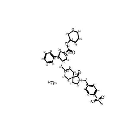 CS(=O)(=O)c1ccc(CN2CCC3(CCN(C[C@H]4CN(C(=O)OC5CCCCC5)C[C@@H]4c4ccccc4)CC3)C2=O)cc1.Cl